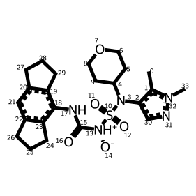 Cc1c(N(C2CCOCC2)S(=O)(=O)[NH+]([O-])C(=O)Nc2c3c(cc4c2CCC4)CCC3)cnn1C